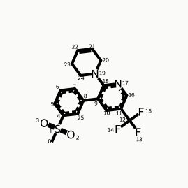 CS(=O)(=O)c1cccc(-c2cc(C(F)(F)F)cnc2N2CC=CCC2)c1